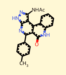 CC(=O)Nc1n[nH]c2nc(-c3ccc(C)cc3)c3c(=O)[nH]c4ccccc4c3c12